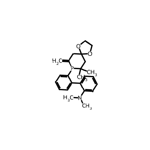 C=C1CC2(CC(C)(C)P1c1ccccc1-c1ccccc1N(C)C)OCCO2